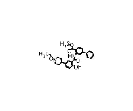 CCON1CCC(c2ccc(O)c(C(=O)Nc3cc(-c4ccccc4)ccc3C(=O)OC)c2)CC1